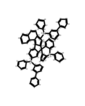 c1ccc(-c2cccc(N(c3ccccc3)c3ccc4c(c3)C3(c5ccccc5N(c5ccccc5)c5ccccc53)c3cc(N(c5ccccc5)c5cccc(-c6ccccc6)c5)c5ccc6ccccc6c5c3-4)c2)cc1